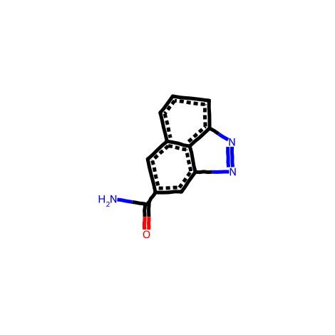 NC(=O)c1cc2c3c(cccc3c1)N=N2